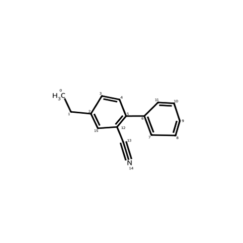 CCc1ccc(-c2ccccc2)c(C#N)c1